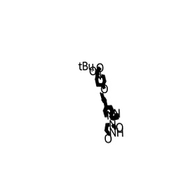 CC(C)(C)OC(=O)N1CCC(OCC#Cc2ccn3c(N4CCC(=O)NC4=O)cnc3c2)CC1